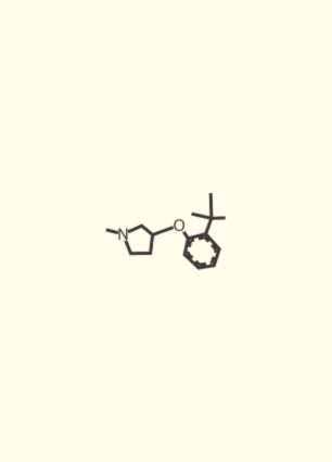 CN1CCC(Oc2ccccc2C(C)(C)C)C1